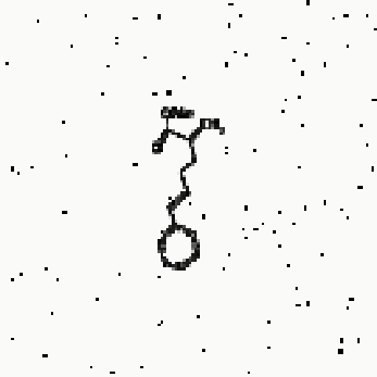 C=C(CCC=Cc1ccccc1)C(=O)OC